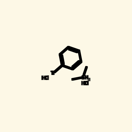 C[SiH2]C.Cl.Cl.[Ti][c]1ccccc1